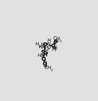 Cc1cn(-c2cc(C(=O)Nc3ccc(C)c(NC(=O)c4csc5c(Nc6ccc(N7CCN(C)CC7)cc6)ncnc45)c3)cc(C(F)(F)F)c2)cn1